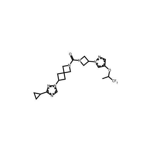 CC(Oc1cnn(C2CN(C(=O)N3CC4(CC(n5cnc(C6CC6)n5)C4)C3)C2)c1)C(F)(F)F